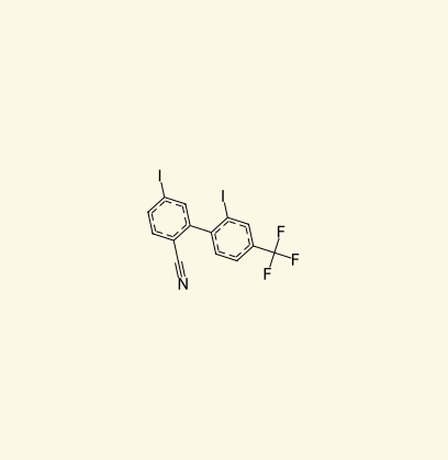 N#Cc1ccc(I)cc1-c1ccc(C(F)(F)F)cc1I